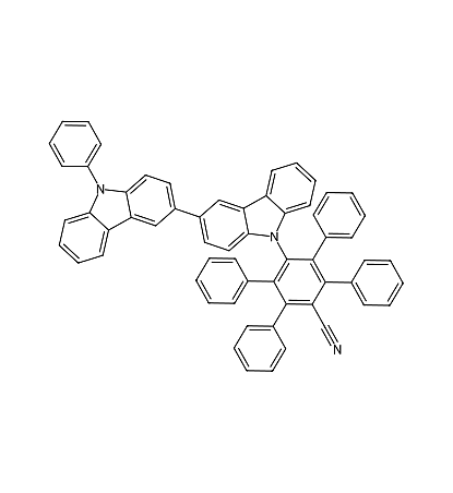 N#Cc1c(-c2ccccc2)c(-c2ccccc2)c(-n2c3ccccc3c3cc(-c4ccc5c(c4)c4ccccc4n5-c4ccccc4)ccc32)c(-c2ccccc2)c1-c1ccccc1